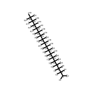 I[C](I)C(I)(I)C(I)(I)C(I)(I)C(I)(I)C(I)(I)C(I)(I)C(I)(I)C(I)(I)C(I)(I)C(I)(I)C(I)(I)C(I)(I)C(I)(I)C(I)(I)C(I)(I)C(I)(I)I